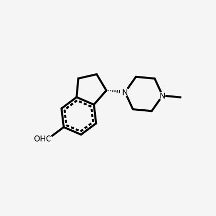 CN1CCN([C@H]2CCc3cc(C=O)ccc32)CC1